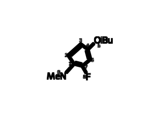 CNc1ccc(OCC(C)C)cc1F